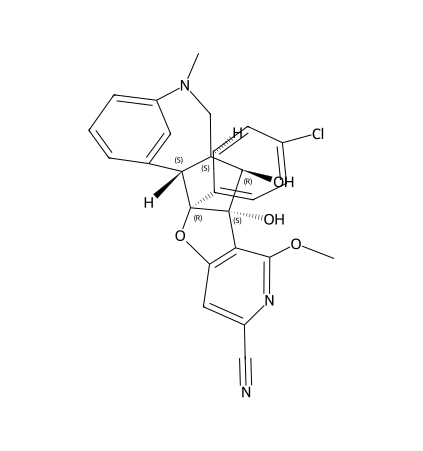 COc1nc(C#N)cc2c1[C@]1(O)[C@H](O)[C@@H]3CN(C)c4cccc(c4)[C@H]3[C@]1(c1ccc(Cl)cc1)O2